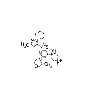 Cc1cc(-c2nsc3c(C4(O)CCC(F)(F)CC4)cc(N4CCOC[C@H]4C)nc23)n(C2CCCCO2)n1